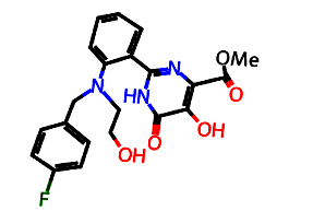 COC(=O)c1nc(-c2ccccc2N(CCO)Cc2ccc(F)cc2)[nH]c(=O)c1O